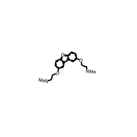 CNCCOc1ccc2oc3ccc(OCCNC)cc3c2c1